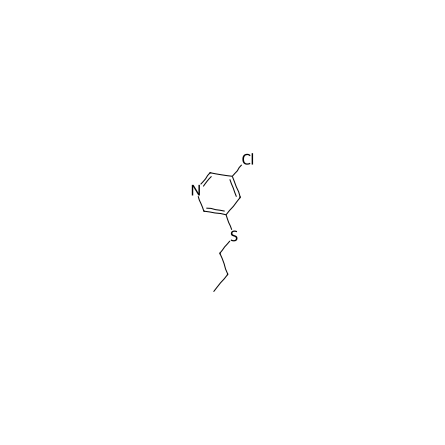 CCCSc1cncc(Cl)c1